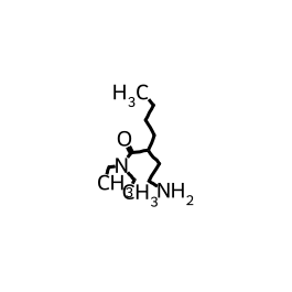 CCCCC(CCN)C(=O)N(CC)CC